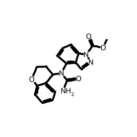 COC(=O)n1ncc2c(N(C(N)=O)C3CCOc4ccccc43)cccc21